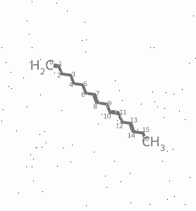 C=CCCCCCC=CCC=CCC=CCC